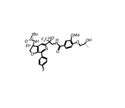 CC[C@@]1(N[S+]([O-])C(C)(C)C)COc2c1cc([C@](O)(CNC(=O)c1ccc(OC[C@@H](C)O)c(OC)c1)C(F)(F)F)nc2-c1ccc(F)cc1